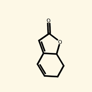 O=C1C=C2C=CCCC2O1